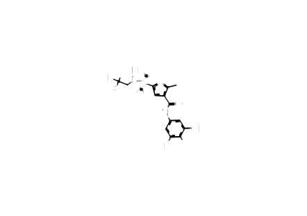 Cc1sc(S(=O)(=O)N[C@H](C)C(F)(F)F)cc1C(=O)Nc1cc(F)c(F)c(Cl)c1